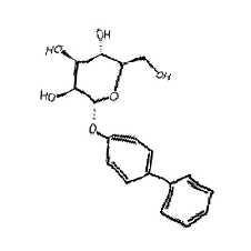 OC[C@H]1O[C@H](Oc2ccc(-c3ccccc3)cc2)[C@@H](O)[C@@H](O)[C@@H]1O